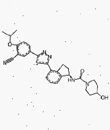 CC(C)Oc1ccc(-c2nnc(-c3cccc4c3CC[C@H]4NC(=O)N3CCC(O)CC3)s2)cc1C#N